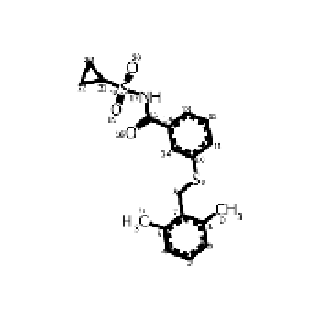 Cc1cccc(C)c1CSc1cccc(C(=O)NS(=O)(=O)C2CC2)c1